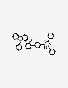 c1ccc(-c2nc(-c3ccccc3)nc(-c3ccc(-c4cccc5c4oc4ccc6c7ccccc7n(-c7ccccc7)c6c45)cc3)n2)cc1